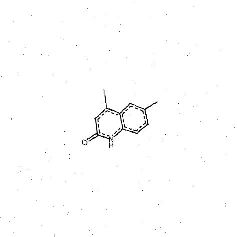 Cc1ccc2[nH]c(=O)cc(I)c2c1